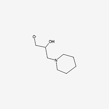 [O]CC(O)CN1CCCCC1